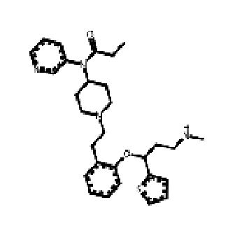 CCC(=O)N(c1cccnc1)C1CCN(CCc2ccccc2OC(CCNC)c2cccs2)CC1